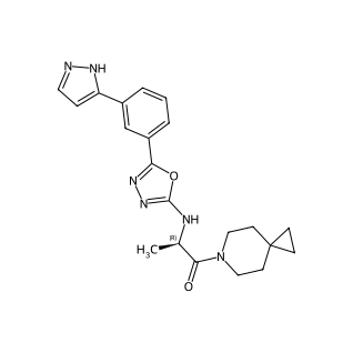 C[C@@H](Nc1nnc(-c2cccc(-c3ccn[nH]3)c2)o1)C(=O)N1CCC2(CC1)CC2